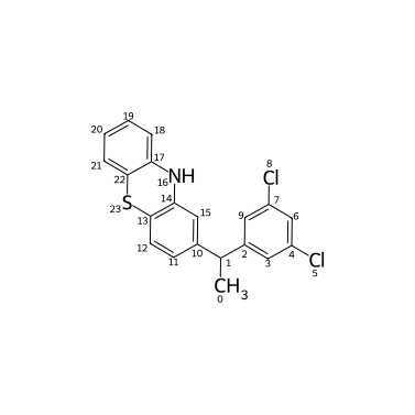 CC(c1cc(Cl)cc(Cl)c1)c1ccc2c(c1)Nc1ccccc1S2